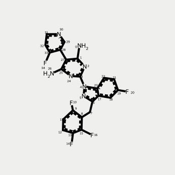 Nc1nc(-n2nc(Cc3c(F)ccc(F)c3F)c3cc(F)ccc32)nc(N)c1-c1cnccc1F